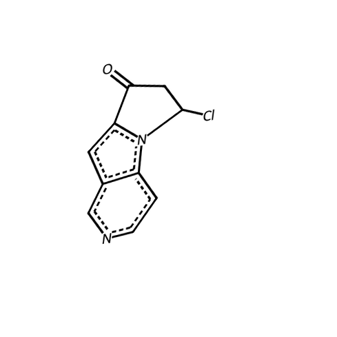 O=C1CC(Cl)n2c1cc1cnccc12